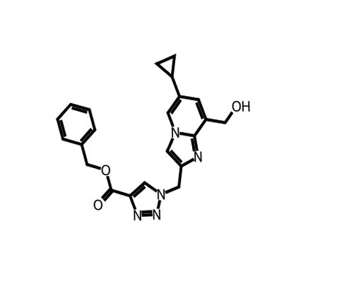 O=C(OCc1ccccc1)c1cn(Cc2cn3cc(C4CC4)cc(CO)c3n2)nn1